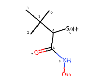 CC(C)(C)[CH]([SnH])C(=O)NO